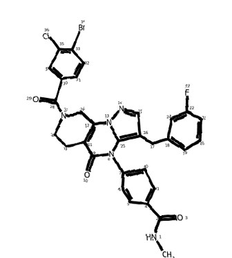 CNC(=O)c1ccc(-n2c(=O)c3c(n4ncc(Cc5cccc(F)c5)c24)CN(C(=O)c2ccc(Br)c(Cl)c2)CC3)cc1